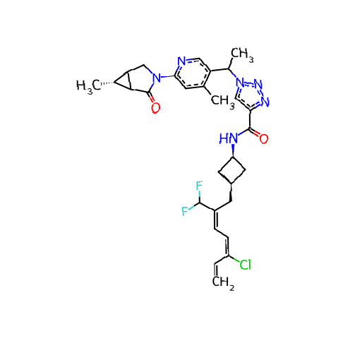 C=C/C(Cl)=C\C=C(/C[C@H]1C[C@@H](NC(=O)c2cn(C(C)c3cnc(N4CC5C(C4=O)[C@@H]5C)cc3C)nn2)C1)C(F)F